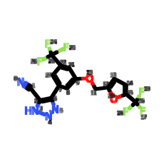 N#Cc1[nH]nnc1-c1cc(OCc2ccc(C(F)(F)F)o2)cc(C(F)(F)F)c1